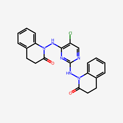 O=C1CCc2ccccc2N1Nc1ncc(Cl)c(NN2C(=O)CCc3ccccc32)n1